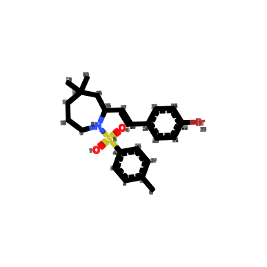 Cc1ccc(S(=O)(=O)N2CCCC(C)(C)CC2/C=C/c2ccc(Br)cc2)cc1